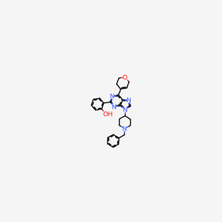 Oc1ccccc1-c1nc(C2=CCOCC2)c2ncn(C3CCN(Cc4ccccc4)CC3)c2n1